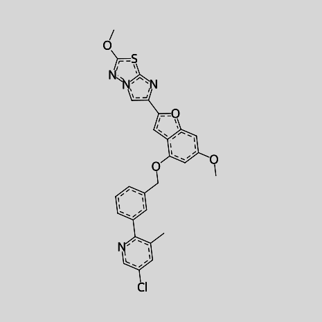 COc1cc(OCc2cccc(-c3ncc(Cl)cc3C)c2)c2cc(-c3cn4nc(OC)sc4n3)oc2c1